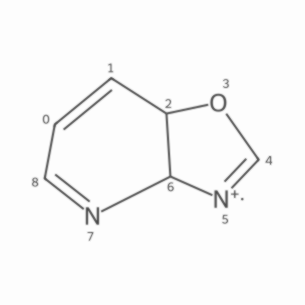 C1=CC2OC=[N+]C2N=C1